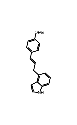 COc1ccc(/C=C/Cc2cccc3[nH]ccc23)cc1